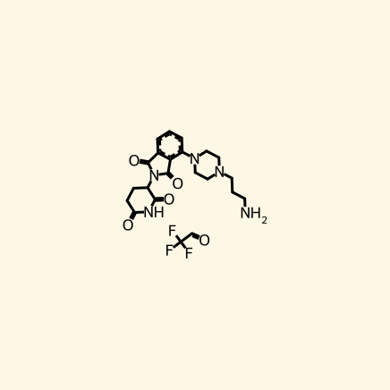 NCCCN1CCN(c2cccc3c2C(=O)N(C2CCC(=O)NC2=O)C3=O)CC1.O=CC(F)(F)F